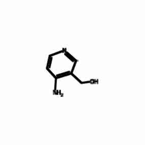 Nc1ccn[c]c1CO